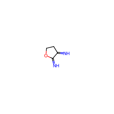 N=C1CCOC1=N